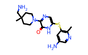 Cc1ncc(N)cc1Sc1cnc(N2CCC(C)(CN)CC2)c(=O)[nH]1